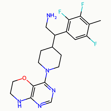 Cc1c(F)cc(C(CN)C2CCN(c3ncnc4c3OCCN4)CC2)c(F)c1F